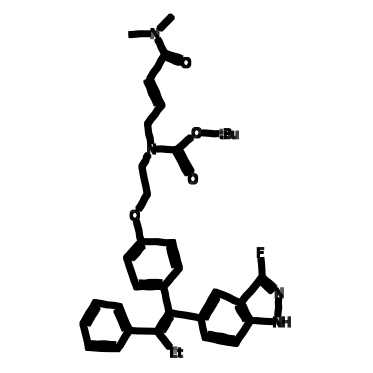 CC/C(=C(/c1ccc(OCCN(C/C=C/C(=O)N(C)C)C(=O)OC(C)(C)C)cc1)c1ccc2[nH]nc(F)c2c1)c1ccccc1